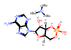 CCCCN(CCCC)CCCC.Nc1ncnc2c1ncn2[C@@H]1O[C@@H]2COP(=O)(O)O[C@H]2[C@H]1O